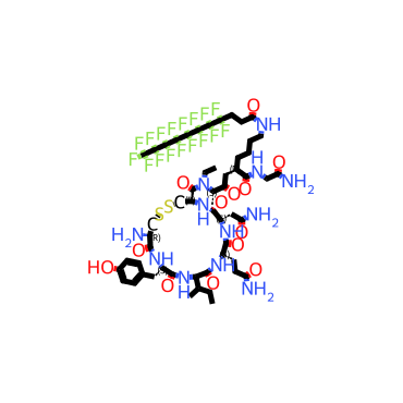 CCC(C)C1NC(=O)[C@H](Cc2ccc(O)cc2)NC(=O)[C@@H](N)CSSC[C@@H](C(=O)N(CC)[C@@H](C)C(=O)C[C@@H](CCCCNC(=O)CCC(F)(F)C(F)(F)C(F)(F)C(F)(F)C(F)(F)C(F)(F)C(F)(F)C(F)(F)F)C(=O)NCC(N)=O)NC(=O)[C@H](CC(N)=O)NC(=O)[C@H](CCC(N)=O)NC1=O